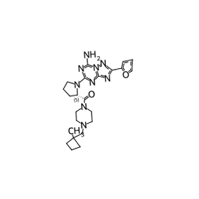 CC1(CN2CCN(C(=O)[C@@H]3CCCN3c3nc(N)n4nc(-c5ccco5)nc4n3)CC2)CCC1